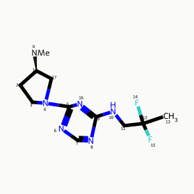 CN[C@@H]1CCN(c2ncnc(NCC(C)(F)F)n2)C1